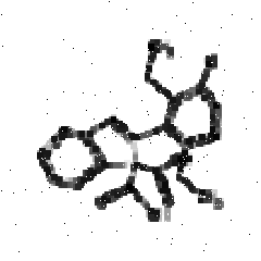 CCc1ccc(Cl)c(CC)c1C1=Cc2ccccc2C1(C(=O)O)C(=O)O